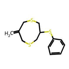 C=C1CSCC(Sc2ccccc2)CSC1